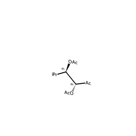 CC(=O)O[C@H](C(C)C)[C@@H](OC(C)=O)C(C)=O